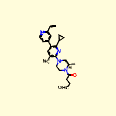 C=Cc1cc(-c2cc(C#N)c(N3CCN(C(=O)CCC=O)[C@H](C)C3)nc2C2CC2)ccn1